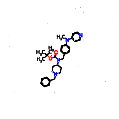 CN(c1ccncc1)c1ccc(CN(C(=O)OC(C)(C)C)C2CCN(Cc3ccccc3)CC2)cc1